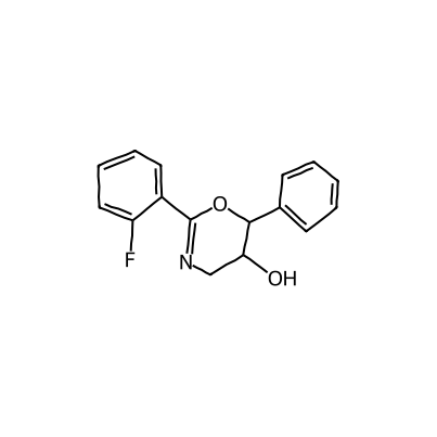 OC1CN=C(c2ccccc2F)OC1c1ccccc1